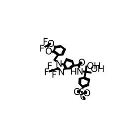 CCS(=O)(=O)c1ccc(C(CO)(CO)NC(=O)c2ccc3c(c2)nc(C(F)(F)F)n3Cc2cccc3c2OC(F)(F)O3)cc1